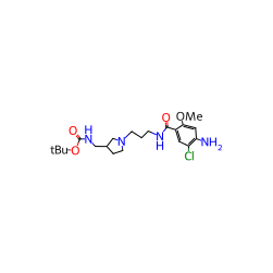 COc1cc(N)c(Cl)cc1C(=O)NCCCN1CCC(CNC(=O)OC(C)(C)C)C1